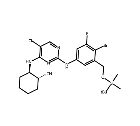 CC(C)(C)[Si](C)(C)OCc1cc(Nc2ncc(Cl)c(N[C@@H]3CCCC[C@H]3C#N)n2)cc(F)c1Br